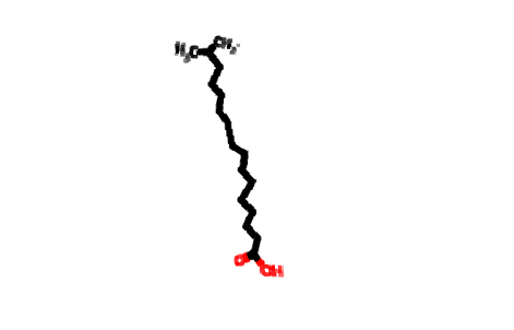 [CH2]C(C)CCCCCCCCCCCCCC(=O)O